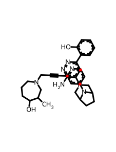 CC1CN(CC#Cc2cc(N3C4CCC3CN(c3cc(-c5ccccc5O)nnc3N)C4)ccn2)CCCC1O